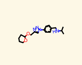 CC(C)NCc1ccc(-n2cc(COC3CCCCO3)nn2)cc1